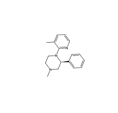 Cc1cccnc1N1CCN(C)C[C@@H]1c1ccccc1